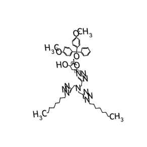 CCCCCCCCn1cc(CN(Cc2cn(CCCCCCCC)nn2)Cc2cn([C@@H]3CC(O)[C@@H](COC(c4ccccc4)(c4ccc(OC)cc4)c4ccc(OC)cc4)O3)nn2)nn1